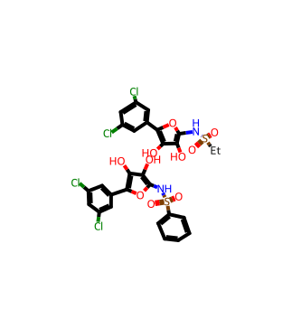 CCS(=O)(=O)Nc1oc(-c2cc(Cl)cc(Cl)c2)c(O)c1O.O=S(=O)(Nc1oc(-c2cc(Cl)cc(Cl)c2)c(O)c1O)c1ccccc1